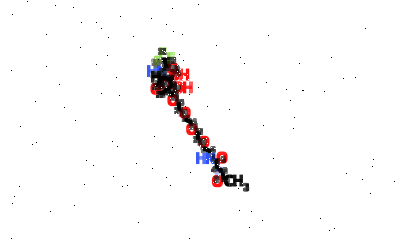 CC(=O)/C=C/C(=O)NCCOCCOCCOCCOC[C@@]12CO[C@@H](O1)[C@@H](NC(=O)C(F)(F)F)[C@@H](O)[C@H]2O